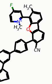 Cc1ccc2c(oc3c(-c4ccc(-c5cccc(-c6ccccc6)c5)cc4)c(C#N)ccc32)c1-c1cc(F)cc[n+]1C